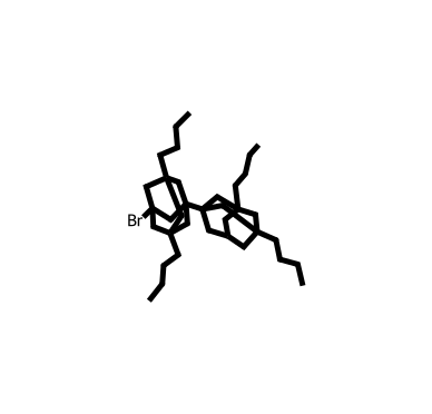 CCCCC12CC3CC(CCCC)(C1)CC(C14CC5(Br)CC(CCCC)(CC(CCCC)(C5)C1)C4)(C3)C2